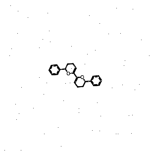 C1=C(C2=CCCC(c3ccccc3)O2)OC(c2ccccc2)CC1